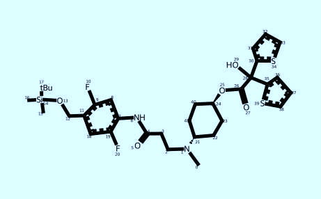 CN(CCC(=O)Nc1cc(F)c(CO[Si](C)(C)C(C)(C)C)cc1F)[C@H]1CC[C@H](OC(=O)C(O)(c2cccs2)c2cccs2)CC1